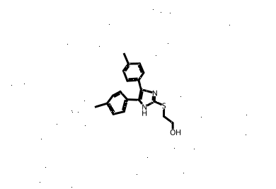 Cc1ccc(-c2nc(SCCO)[nH]c2-c2ccc(C)cc2)cc1